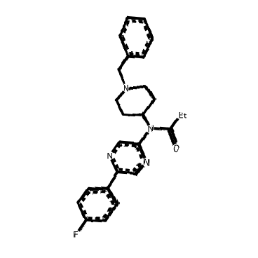 CCC(=O)N(c1cnc(-c2ccc(F)cc2)cn1)C1CCN(Cc2ccccc2)CC1